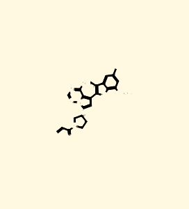 C=CC(=O)N1CC[C@@H](c2cc(-c3sc4c(OC)cc(C)cc4c3C)c3c(N)ncnn23)C1